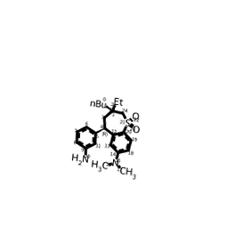 CCCC[C@]1(CC)C[C@H](c2cccc(N)c2)c2cc(N(C)C)ccc2S(=O)(=O)C1